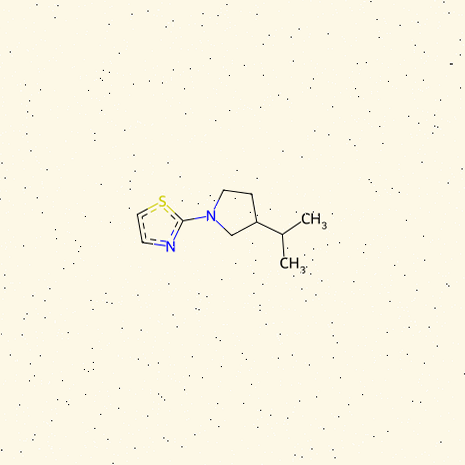 CC(C)C1CCN(c2nccs2)C1